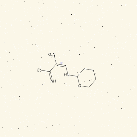 CCC(=N)/C(=C\NC1CCCCO1)[N+](=O)[O-]